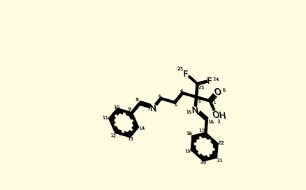 O=C(O)C(CCC/N=C/c1ccccc1)(/N=C/c1ccccc1)C(F)F